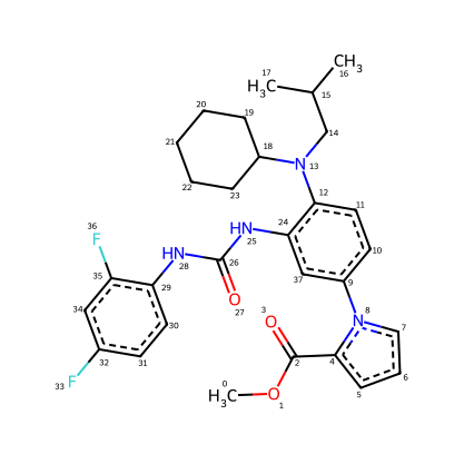 COC(=O)c1cccn1-c1ccc(N(CC(C)C)C2CCCCC2)c(NC(=O)Nc2ccc(F)cc2F)c1